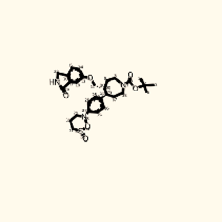 CC(C)(C)OC(=O)N1CC[C@@H](COc2ccc3c(c2)C(=O)NC3)[C@H](c2ccc(N3CCCS(=O)O3)cc2)CC1